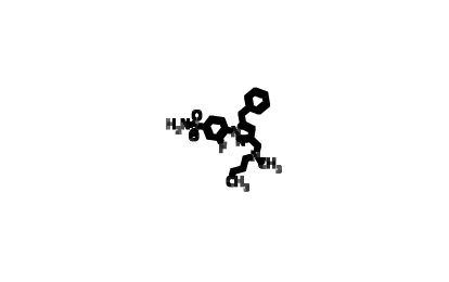 CCCCN(C)Cc1cc(Cc2ccccc2)n(-c2ccc(S(N)(=O)=O)cc2F)n1